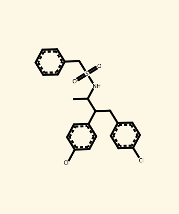 CC(NS(=O)(=O)Cc1ccccc1)C(Cc1ccc(Cl)cc1)c1ccc(Cl)cc1